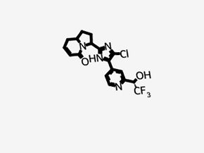 O=C1C=CCC2CCC(c3nc(Cl)c(-c4ccnc([C@H](O)C(F)(F)F)c4)[nH]3)N12